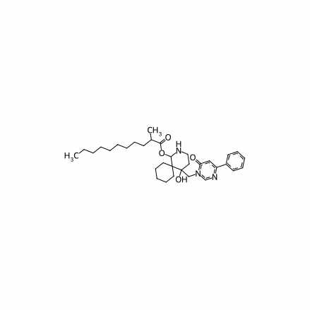 CCCCCCCCCC(C)C(=O)OC1NCCC(O)(Cn2cnc(-c3ccccc3)cc2=O)C12CCCCC2